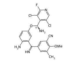 COc1c(C)cc(C(=N)c2cc(O[C@H](N)c3c(Cl)cnc(F)c3Cl)ccc2N)cc1C#N